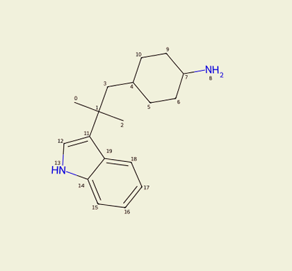 CC(C)(CC1CCC(N)CC1)c1c[nH]c2ccccc12